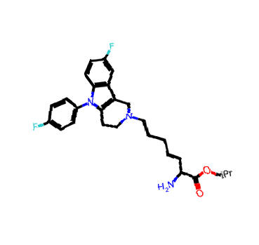 CC(C)OC(=O)C(N)CCCCCN1CCc2c(c3cc(F)ccc3n2-c2ccc(F)cc2)C1